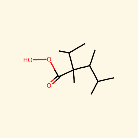 CC(C)C(C)C(C)(C(=O)OO)C(C)C